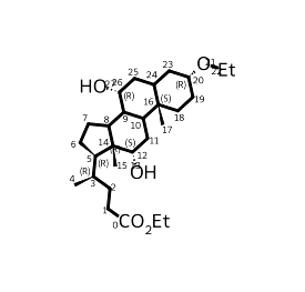 CCOC(=O)CC[C@@H](C)[C@H]1CCC2C3C(C[C@H](O)[C@@]21C)[C@@]1(C)CC[C@@H](OCC)CC1C[C@H]3O